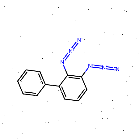 [N-]=[N+]=Nc1cccc(-c2ccccc2)c1N=[N+]=[N-]